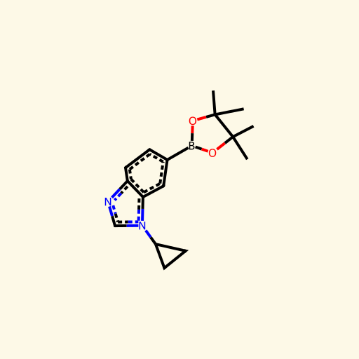 CC1(C)OB(c2ccc3ncn(C4CC4)c3c2)OC1(C)C